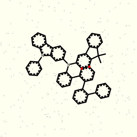 CC1(C)c2ccccc2-c2cc(N(c3ccc4c5ccccc5n(-c5ccccc5)c4c3)c3ccccc3-c3ccccc3-c3ccccc3-c3ccccc3)ccc21